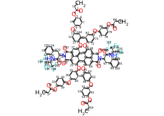 C=CC(=O)Oc1cccc(Oc2ccc(Oc3cc4c5c(cc(Oc6ccc(Oc7cccc(OC(=O)C=C)c7)cc6)c6c7c(Oc8ccc(Oc9cccc(OC(=O)C=C)c9)cc8)cc8c9c(cc(Oc%10ccc(Oc%11cccc(OC(=O)C=C)c%11)cc%10)c(c3c56)c97)C(=O)N(C(Cc3ccccc3)C(=O)NC(C(F)(F)F)C(F)(F)F)C8=O)C(=O)N(C(Cc3ccccc3)C(=O)NC(C(F)(F)F)C(F)(F)F)C4=O)cc2)c1